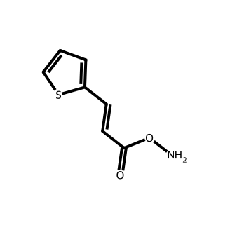 NOC(=O)/C=C/c1cccs1